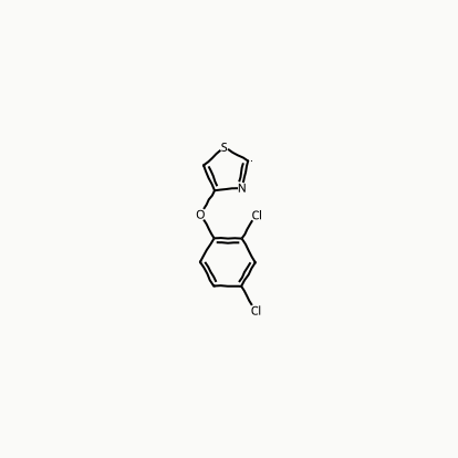 Clc1ccc(Oc2cs[c]n2)c(Cl)c1